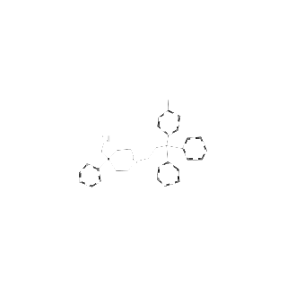 Cc1ccc(C(CCN2CCC(CN)(c3ccccc3)CC2)(c2ccccc2)c2ccccc2)cc1